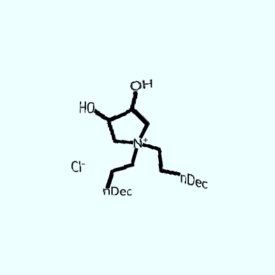 CCCCCCCCCCCC[N+]1(CCCCCCCCCCCC)CC(O)C(O)C1.[Cl-]